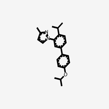 Cc1ccn(-c2cc(-c3ccc(OC(C)C)cc3)ccc2C(C)C)n1